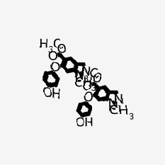 COC(=O)c1cc2cnn(C)c2cc1Oc1ccc(O)cc1.COC(=O)c1cc2cnn(C)c2cc1Oc1ccc(O)cc1